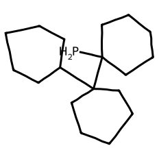 PC1(C2(C3CCCCC3)CCCCC2)CCCCC1